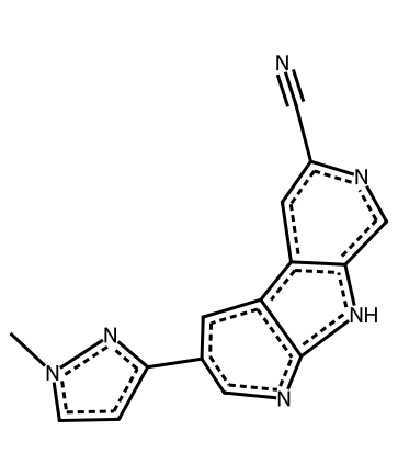 Cn1ccc(-c2cnc3[nH]c4cnc(C#N)cc4c3c2)n1